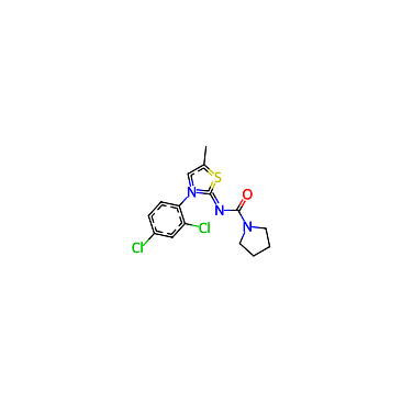 Cc1cn(-c2ccc(Cl)cc2Cl)c(=NC(=O)N2CCCC2)s1